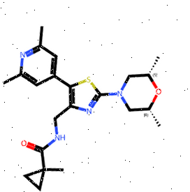 Cc1cc(-c2sc(N3C[C@@H](C)O[C@@H](C)C3)nc2CNC(=O)C2(C)CC2)cc(C)n1